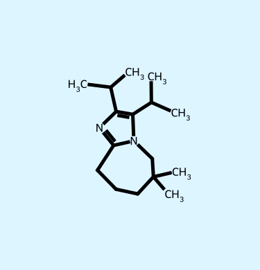 CC(C)c1nc2n(c1C(C)C)CC(C)(C)CCC2